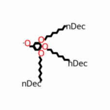 CCCCCCCCCCCCCCCCCCOc1cc(C[O])cc(OCCCCCCCCCCCCCCCCCC)c1OCCCCCCCCCCCCCCCCCC